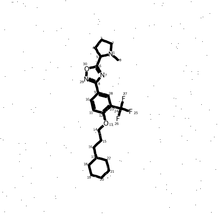 CN1CCCC1c1nc(-c2ccc(OCCCC3CCCCC3)c(C(F)(F)F)c2)no1